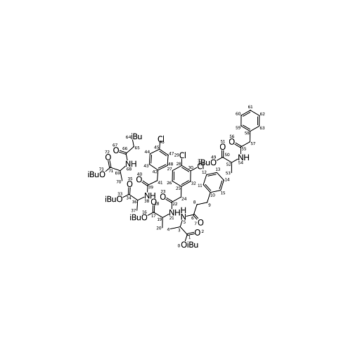 CC(C)COC(=O)C(C)NC(=O)CCc1ccccc1.CC(C)COC(=O)C(C)NC(=O)Cc1ccc(Cl)c(Cl)c1.CC(C)COC(=O)C(C)NC(=O)Cc1ccc(Cl)cc1.CC(C)COC(=O)C(C)NC(=O)Cc1ccccc1.CCC(C)CC(=O)NC(C)C(=O)OCC(C)C